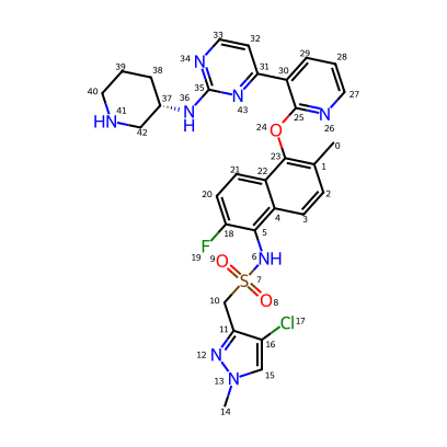 Cc1ccc2c(NS(=O)(=O)Cc3nn(C)cc3Cl)c(F)ccc2c1Oc1ncccc1-c1ccnc(N[C@H]2CCCNC2)n1